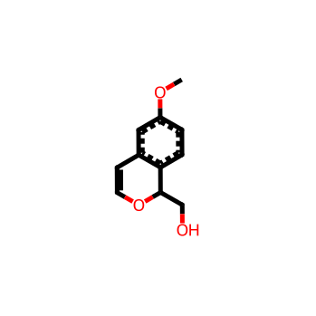 COc1ccc2c(c1)C=COC2CO